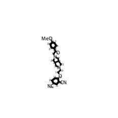 COc1ccc(C(=O)CN2CC3CN(CCOc4ccc(C#N)cc4C#N)CC3C2)cc1